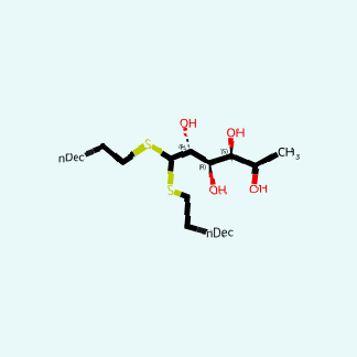 CCCCCCCCCCCCSC(SCCCCCCCCCCCC)[C@H](O)[C@H](O)[C@@H](O)C(C)O